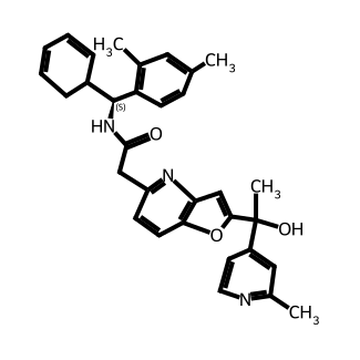 Cc1ccc([C@@H](NC(=O)Cc2ccc3oc(C(C)(O)c4ccnc(C)c4)cc3n2)C2C=CC=CC2)c(C)c1